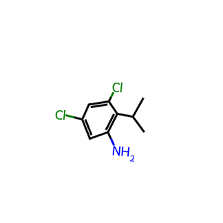 CC(C)c1c(N)cc(Cl)cc1Cl